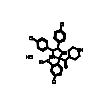 CCOc1cc(Cl)ccc1C1(C(=O)N2CCNCC2)NC(c2ccc(Cl)cc2)C(c2ccc(Cl)cc2)N1.Cl